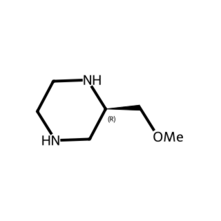 COC[C@H]1CNCCN1